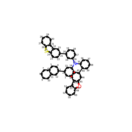 c1cc(-c2ccc3ccccc3c2)cc(N(c2cccc(-c3ccc4sc5ccccc5c4c3)c2)c2ccccc2-c2ccc3c(c2)oc2ccccc23)c1